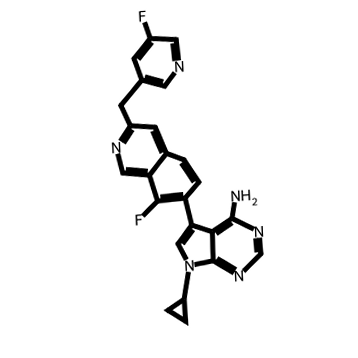 Nc1ncnc2c1c(-c1ccc3cc(Cc4cncc(F)c4)ncc3c1F)cn2C1CC1